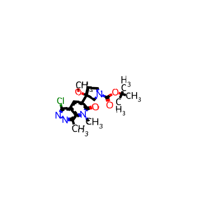 COC1(c2cc3c(Cl)nnc(C)c3n(C)c2=O)CCN(C(=O)OC(C)(C)C)C1